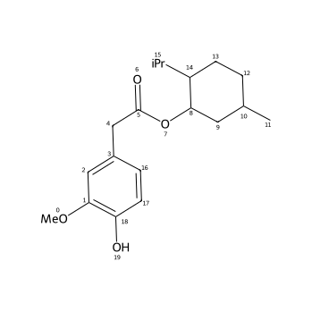 COc1cc(CC(=O)OC2CC(C)CCC2C(C)C)ccc1O